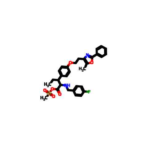 CCC(c1ccc(OCCc2nc(-c3ccccc3)oc2C)cc1)C(NCc1ccc(F)cc1)C(=O)OS(C)(=O)=O